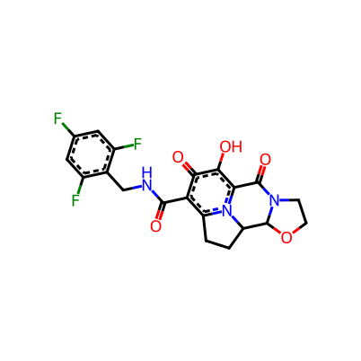 O=C(NCc1c(F)cc(F)cc1F)c1c2n3c(c(O)c1=O)C(=O)N1CCOC1C3CC2